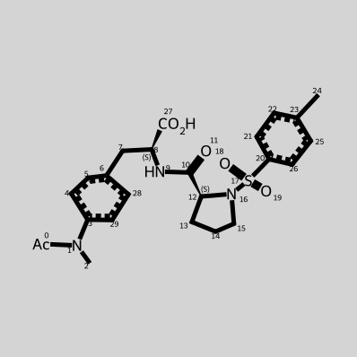 CC(=O)N(C)c1ccc(C[C@H](NC(=O)[C@@H]2CCCN2S(=O)(=O)c2ccc(C)cc2)C(=O)O)cc1